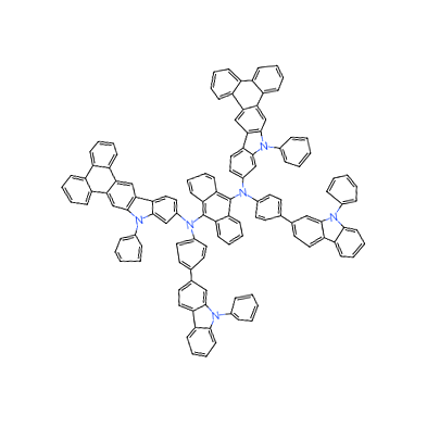 c1ccc(-n2c3ccccc3c3ccc(-c4ccc(N(c5ccc6c7cc8c9ccccc9c9ccccc9c8cc7n(-c7ccccc7)c6c5)c5c6ccccc6c(N(c6ccc(-c7ccc8c9ccccc9n(-c9ccccc9)c8c7)cc6)c6ccc7c8cc9c%10ccccc%10c%10ccccc%10c9cc8n(-c8ccccc8)c7c6)c6ccccc56)cc4)cc32)cc1